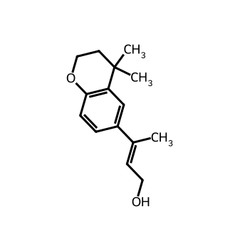 C/C(=C\CO)c1ccc2c(c1)C(C)(C)CCO2